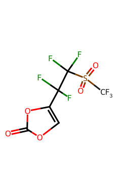 O=c1occ(C(F)(F)C(F)(F)S(=O)(=O)C(F)(F)F)o1